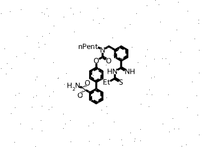 CCCCCN(Cc1cccc(C(=N)NC(=S)CC)c1)C(=O)Oc1ccc(-c2ccccc2S(N)(=O)=O)cc1